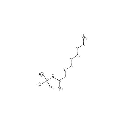 CCCOCCOCC(C)OC(C)(C)C